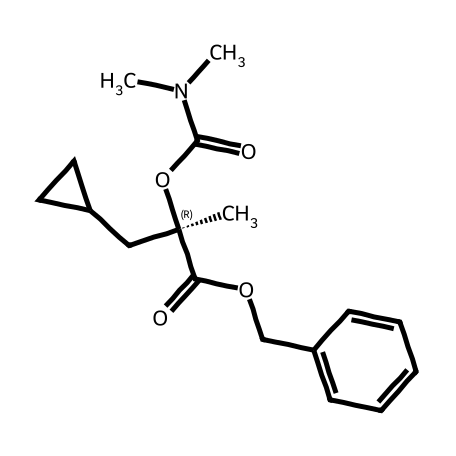 CN(C)C(=O)O[C@](C)(CC1CC1)C(=O)OCc1ccccc1